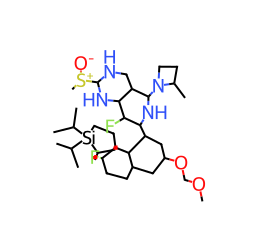 COCOC1CC2CCC(F)C(CC[Si](C(C)C)(C(C)C)C(C)C)C2C(C2NC(N3CCC3C)C3CNC([S+](C)[O-])NC3C2F)C1